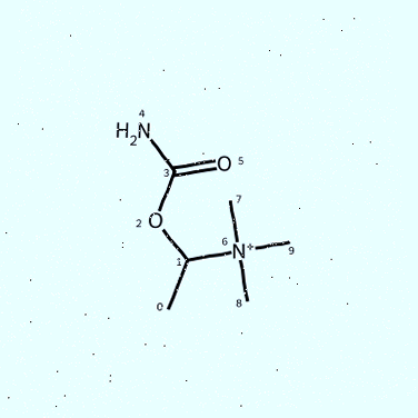 CC(OC(N)=O)[N+](C)(C)C